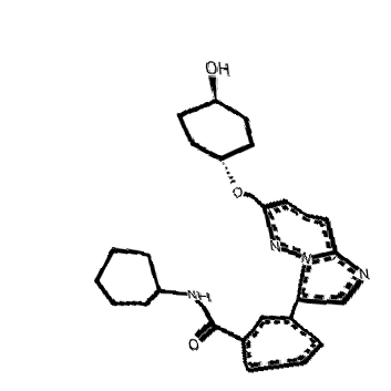 O=C(NC1CCCCC1)c1cccc(-c2cnc3ccc(O[C@H]4CC[C@H](O)CC4)nn23)c1